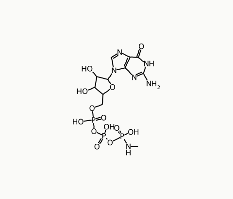 CNP(=O)(O)OP(=O)(O)OP(=O)(O)OCC1OC(n2cnc3c(=O)[nH]c(N)nc32)C(O)C1O